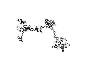 Cc1c(-c2ccc(CNC(=O)[C@@H]3C[C@@H](O)CN3C(=O)[C@@H](NC(=O)COCCOCCOCCNC(=O)c3cc4c(cc3CS(C)(=O)=O)-c3cn(C)c(=O)c5[nH]cc(c35)CN4c3ncc(F)cc3F)C(C)(C)C)cc2)sc[n+]1Cc1ccc(NC(=O)[C@H](CCCCNC(N)=O)NC(=O)[C@@H](NC(=O)CCCCCN2C(=O)C=CC2=O)C(C)C)cc1